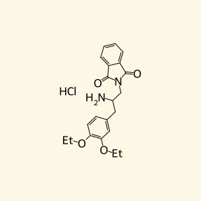 CCOc1ccc(CC(N)CN2C(=O)c3ccccc3C2=O)cc1OCC.Cl